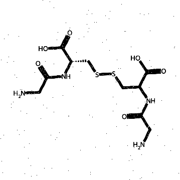 NCC(=O)NC(CSSC[C@H](NC(=O)CN)C(=O)O)C(=O)O